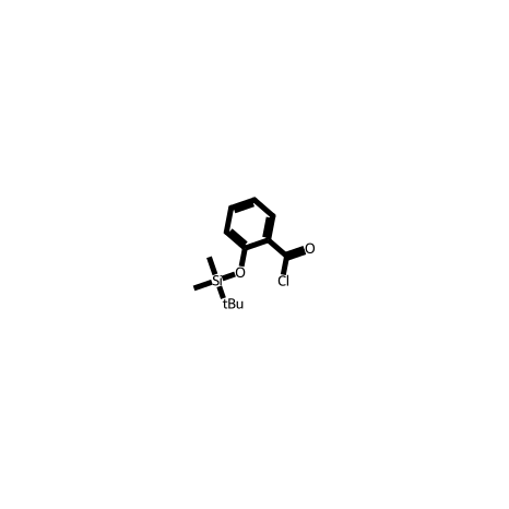 CC(C)(C)[Si](C)(C)Oc1ccccc1C(=O)Cl